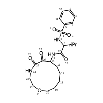 CC(C)C(NS(=O)(=O)c1ccccc1)C(=O)NC1CCCCCOCCNC(=O)C1=O